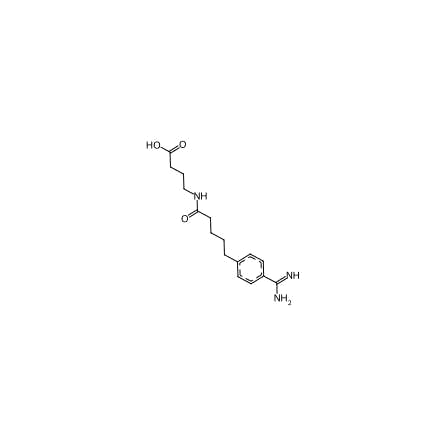 N=C(N)c1ccc(CCCCC(=O)NCCCC(=O)O)cc1